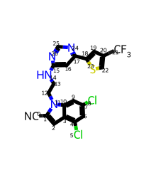 N#Cc1cc2c(Cl)cc(Cl)cc2n1CCNc1cc(-c2cc(C(F)(F)F)cs2)ncn1